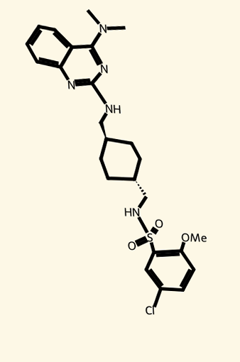 COc1ccc(Cl)cc1S(=O)(=O)NC[C@H]1CC[C@H](CNc2nc(N(C)C)c3ccccc3n2)CC1